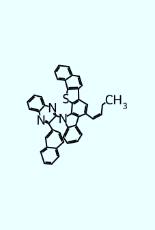 CC/C=C\c1cc2c3ccc4ccccc4c3sc2c2c1c1ccccc1n2-c1nc2ccccc2nc1-c1ccc2ccccc2c1